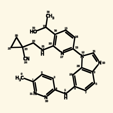 Cc1ccc(Nc2ccc3ncn(-c4ccc(C(C)O)c(NCC5(C#N)CC5)n4)c3c2)nn1